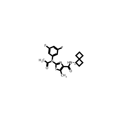 CC(=O)N(c1cc(F)cc(F)c1)c1nc(C(=O)N[C@H]2CCC23CCC3)c(C)s1